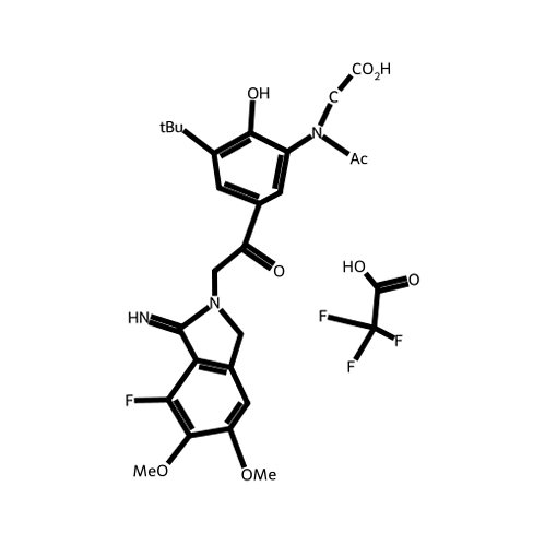 COc1cc2c(c(F)c1OC)C(=N)N(CC(=O)c1cc(N(CC(=O)O)C(C)=O)c(O)c(C(C)(C)C)c1)C2.O=C(O)C(F)(F)F